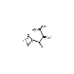 C=C(C(=O)O)C(C)C1COC1